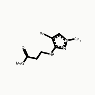 COC(=O)CCNc1nn(C)cc1Br